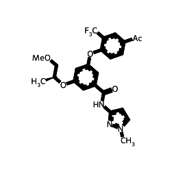 COC[C@H](C)Oc1cc(Oc2ccc(C(C)=O)cc2C(F)(F)F)cc(C(=O)Nc2ccn(C)n2)c1